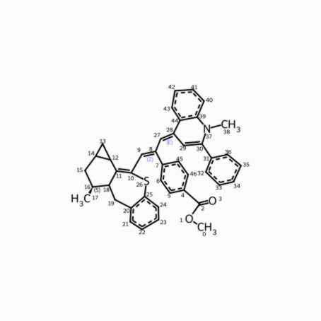 COC(=O)c1ccc(C(=C\C2=C3C4CC4C[C@H](C)C3Cc3ccccc3S2)/C=C2\C=C(c3ccccc3)N(C)c3ccccc32)cc1